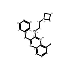 Cc1cccc2nc(Cc3ccccc3)c(NCCN3CCC3)nc12